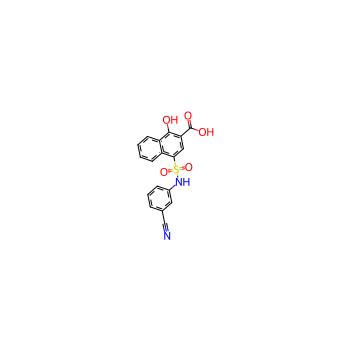 N#Cc1cccc(NS(=O)(=O)c2cc(C(=O)O)c(O)c3ccccc23)c1